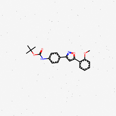 COc1ccccc1-c1cc(-c2ccc(NC(=O)OC(C)(C)C)cc2)no1